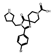 O=C(O)N1CCC2(CC1)N=C(c1ccc(Br)cc1)N(CC1CCNC1)C2=O